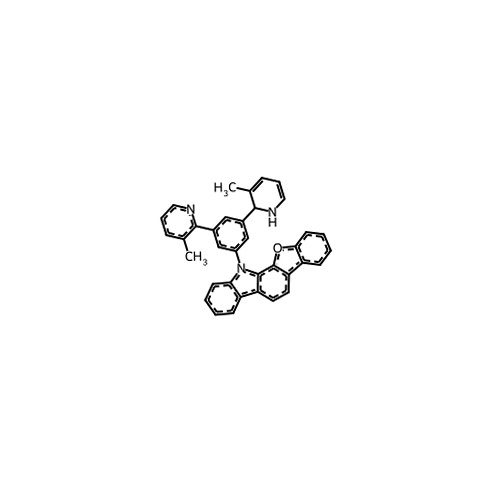 CC1=CC=CNC1c1cc(-c2ncccc2C)cc(-n2c3ccccc3c3ccc4c5ccccc5oc4c32)c1